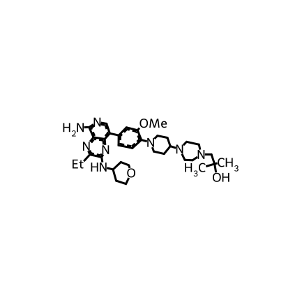 CCc1nc2c(N)ncc(-c3ccc(N4CCC(N5CCN(CC(C)(C)O)CC5)CC4)c(OC)c3)c2nc1NC1CCOCC1